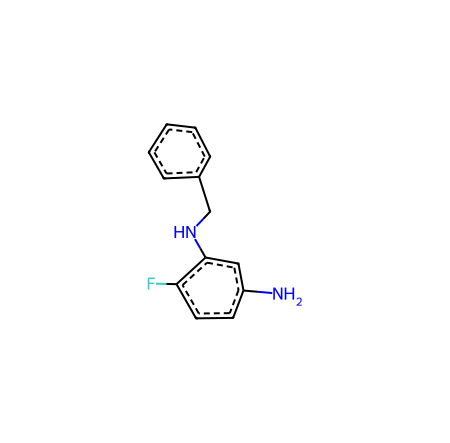 Nc1ccc(F)c(NCc2ccccc2)c1